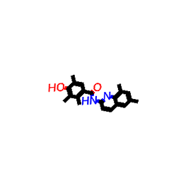 Cc1cc(C)c2nc(NC(=O)c3cc(C)c(O)c(C)c3C)ccc2c1